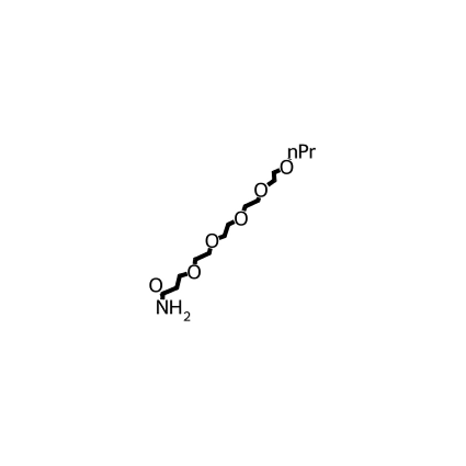 CCCOCCOCCOCCOCCOCCC(N)=O